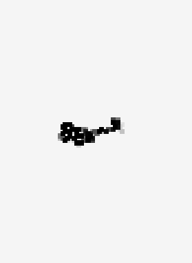 O=C(O)CCCCCCC(=O)c1ccc2c3cccc4cccc(c5cccc1c52)c43